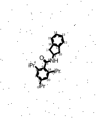 CC(C)c1cc(C(C)C)c(C(=O)NC2Cc3ccccc3C2)c(C(C)C)c1